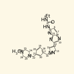 CCNC(=O)Nc1ccc2ncc(-c3cnn(Cc4cccc(CN5CCN(C)CC5)c4)c3)nc2n1